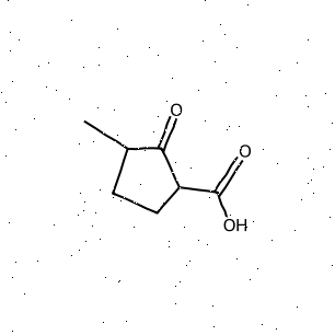 CC1CCC(C(=O)O)C1=O